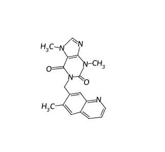 Cc1cc2cccnc2cc1Cn1c(=O)c2c(ncn2C)n(C)c1=O